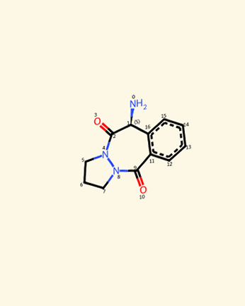 N[C@@H]1C(=O)N2CCCN2C(=O)c2ccccc21